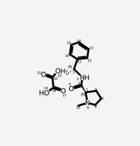 C[C@@H](NC(=O)[C@H]1CCCN1C)c1ccccc1.O=C(O)C(=O)O